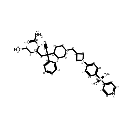 CCC[C@H](CC(C#N)(c1ccccc1)C1CCN(CC2CN(c3ccc(S(=O)(=O)c4ccncc4)cc3)C2)CC1)OC(N)=O